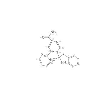 CC(N)(Cc1ccccc1)N1N=NC(C(N)=O)=CN1c1ccccc1